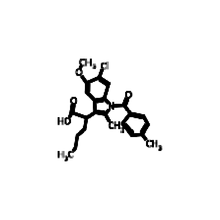 CCCCC(C(=O)O)c1c(C)n(C(=O)c2ccc(C)cc2)c2cc(Cl)c(OC)cc12